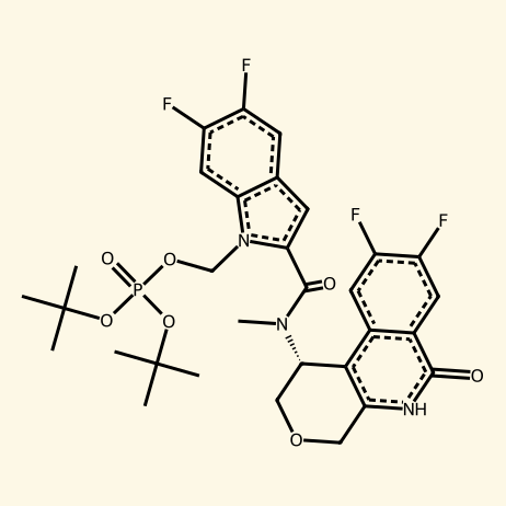 CN(C(=O)c1cc2cc(F)c(F)cc2n1COP(=O)(OC(C)(C)C)OC(C)(C)C)[C@H]1COCc2[nH]c(=O)c3cc(F)c(F)cc3c21